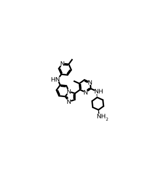 Cc1ccc(Nc2ccc3ncc(-c4nc(N[C@H]5CC[C@H](N)CC5)ncc4C)n3c2)cn1